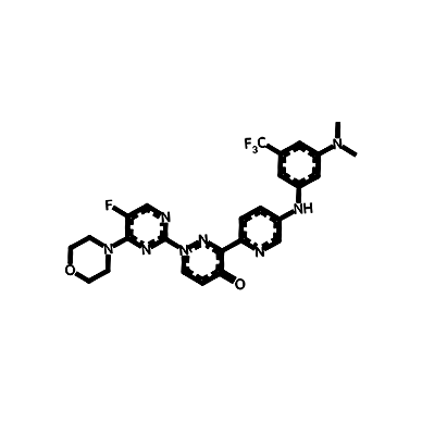 CN(C)c1cc(Nc2ccc(-c3nn(-c4ncc(F)c(N5CCOCC5)n4)ccc3=O)nc2)cc(C(F)(F)F)c1